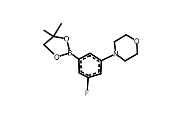 CC1(C)COB(c2cc(F)cc(N3CCOCC3)c2)O1